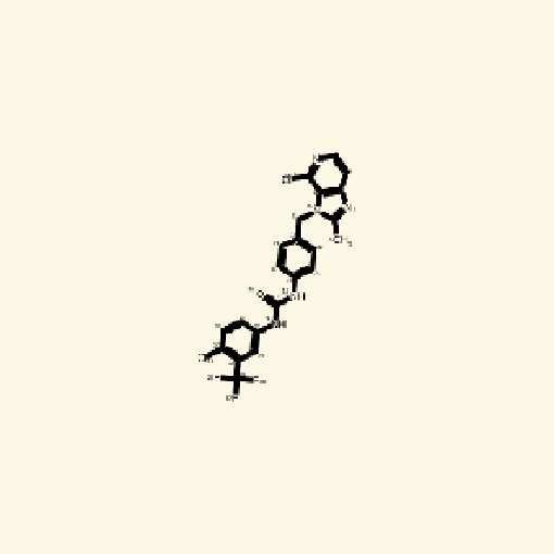 Cc1nc2ccnc(Cl)c2n1Cc1ccc(NC(=O)Nc2ccc(Cl)c(C(F)(F)F)c2)cc1